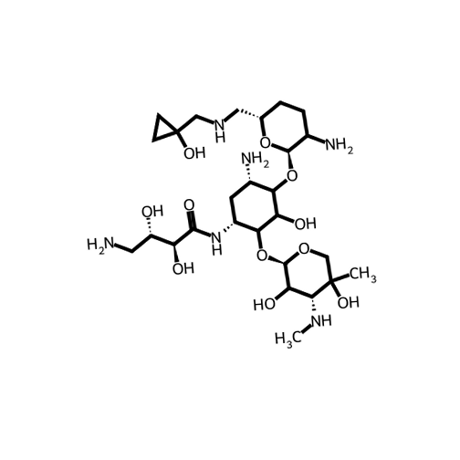 CN[C@@H]1C(O)[C@@H](OC2C(O)C(O[C@H]3O[C@H](CNCC4(O)CC4)CCC3N)[C@@H](N)C[C@H]2NC(=O)[C@@H](O)[C@@H](O)CN)OCC1(C)O